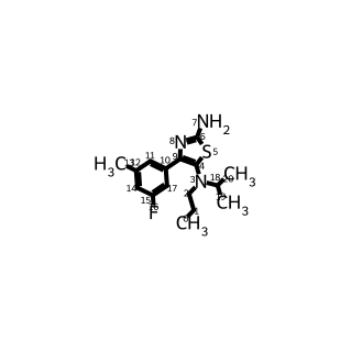 CCCN(c1sc(N)nc1-c1cc(C)cc(F)c1)C(C)C